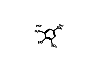 O=[N+]([O-])c1cc([N+](=O)[O-])c(O)c([N+](=O)[O-])c1.[Na+].[OH-]